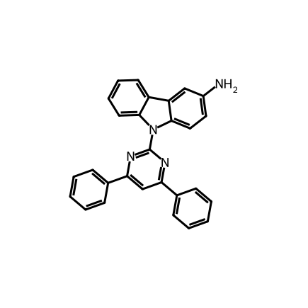 Nc1ccc2c(c1)c1ccccc1n2-c1nc(-c2ccccc2)cc(-c2ccccc2)n1